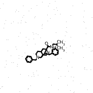 CC(C)CNC(=O)C12CC3CCN(Cc4ccccc4)C(C3C=N1)C2Cc1ccccc1